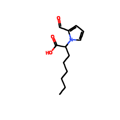 CCCCCCC(C(=O)O)n1cccc1C=O